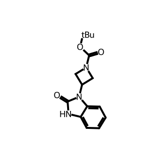 CC(C)(C)OC(=O)N1CC(n2c(=O)[nH]c3ccccc32)C1